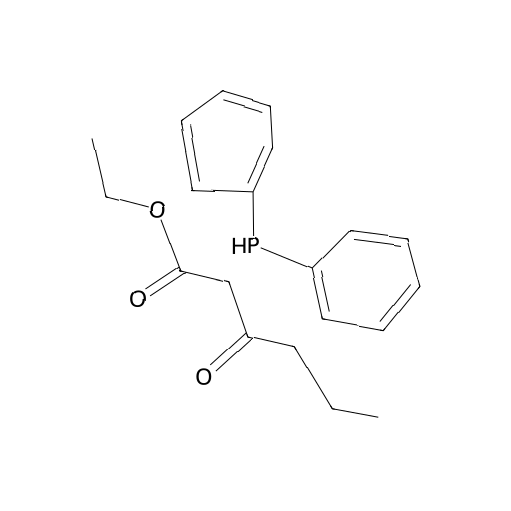 CCCC(=O)CC(=O)OCC.c1ccc(Pc2ccccc2)cc1